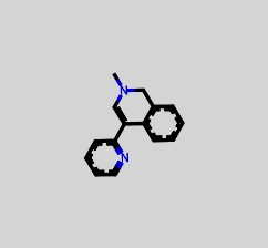 CN1C=C(c2ccccn2)c2ccccc2C1